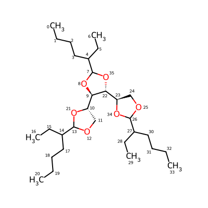 CCCCC(CC)C1O[C@H]([C@@H]2COC(C(CC)CCCC)O2)[C@@H]([C@H]2COC(C(CC)CCCC)O2)O1